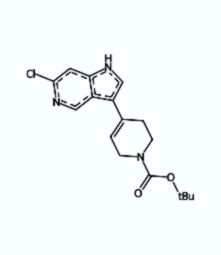 CC(C)(C)OC(=O)N1CC=C(c2c[nH]c3cc(Cl)ncc23)CC1